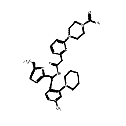 CC(=O)N1CCN(c2cccc(CC(=O)NC(c3ccc(C)o3)c3ccc(C)cc3N3CCCCC3)n2)CC1